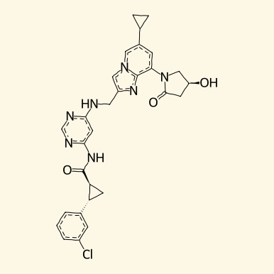 O=C(Nc1cc(NCc2cn3cc(C4CC4)cc(N4C[C@@H](O)CC4=O)c3n2)ncn1)[C@H]1C[C@@H]1c1cccc(Cl)c1